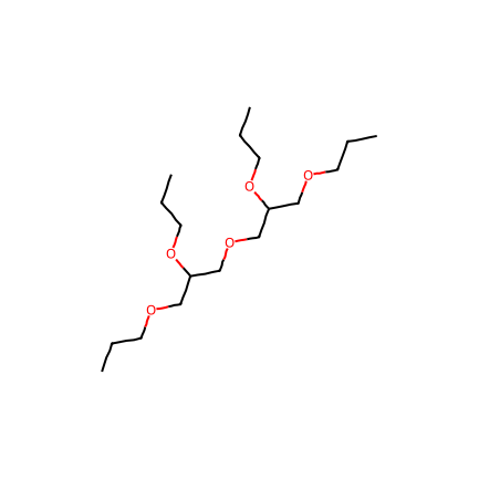 CCCOCC(COCC(COCCC)OCCC)OCCC